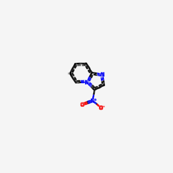 O=[N+]([O-])c1cnc2cc[c]cn12